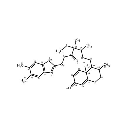 CC[C@](O)(C(=O)CSc1nc2cc(C)c(C)cc2[nH]1)C(C)CCC1C(C)CCC2=CC(=O)C=CC21C